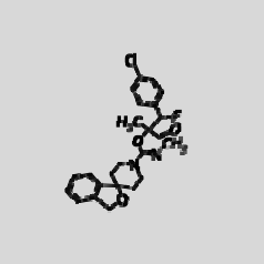 C/N=C(\OC(C)(C=O)C(F)c1ccc(Cl)cc1)N1CCC2(CC1)OCc1ccccc12